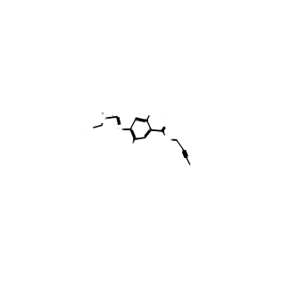 CC#CCOC(=O)c1cc(C)c(/N=C/N(C)CC)cc1C